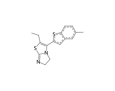 CCC1=C(c2cc3cc(C)ccc3s2)N2CCN=C2S1